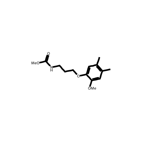 COC(=O)NCCCOc1cc(C)c(C)cc1OC